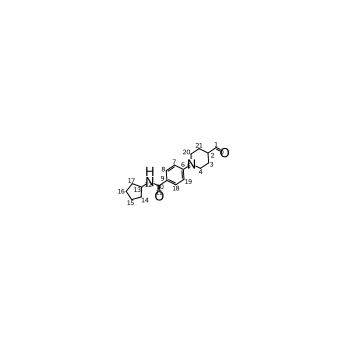 O=CC1CCN(c2ccc(C(=O)NC3CCCC3)cc2)CC1